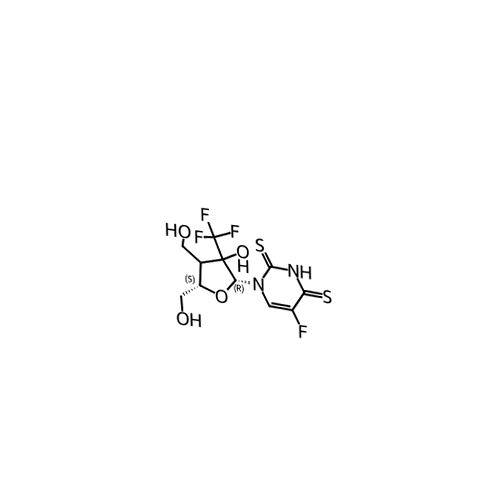 OCC1[C@@H](CO)O[C@@H](n2cc(F)c(=S)[nH]c2=S)C1(O)C(F)(F)F